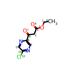 CCOC(=O)CC(=O)c1cnc(Cl)cn1